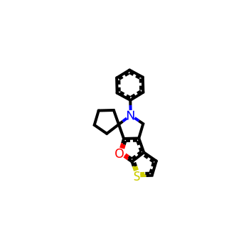 c1ccc(N2Cc3c(oc4sccc34)C23CCCC3)cc1